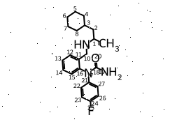 CC(CC1CCCCC1)NCc1ccccc1N(C(N)=O)c1ccc(F)cc1